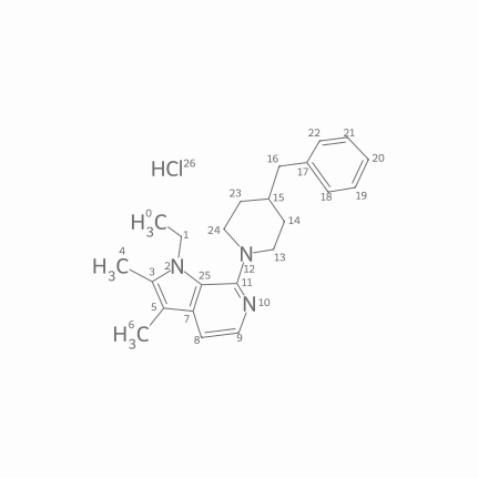 CCn1c(C)c(C)c2ccnc(N3CCC(Cc4ccccc4)CC3)c21.Cl